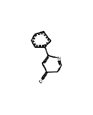 O=C1C=C(c2ccccc2)N=CC1